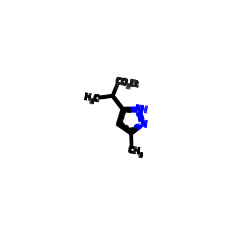 CCOC(=O)C(C)c1cc(C)n[nH]1